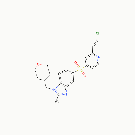 CC(C)(C)c1nc2cc(S(=O)(=O)c3ccnc(/C=C/Cl)c3)ccc2n1CC1CCOCC1